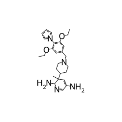 CCOc1cc(CN2CCC(C3(C)C=C(N)C=NC3N)CC2)cc(OCC)c1-n1cccc1